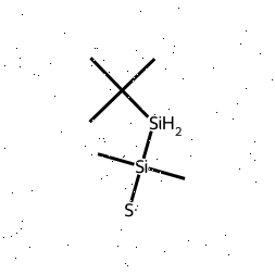 CC(C)(C)[SiH2][Si](C)(C)[S]